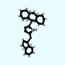 C1=C(Cc2ccc(-c3c4ccccc4cc4ccccc34)[nH]2)c2ccccc2C1